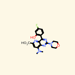 CN(C)c1cc(C(=O)O)nc2c(-c3ccc(F)cc3O)nc(N3CCOCC3)nc12